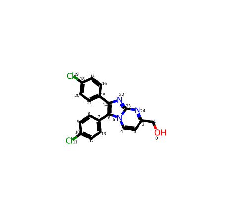 OCc1ccn2c(-c3ccc(Cl)cc3)c(-c3ccc(Cl)cc3)nc2n1